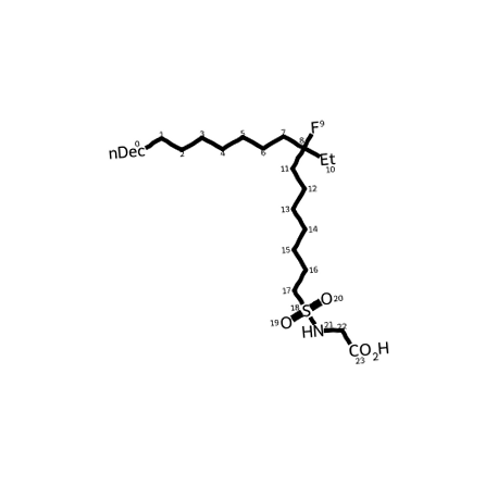 CCCCCCCCCCCCCCCCCC(F)(CC)CCCCCCCS(=O)(=O)NCC(=O)O